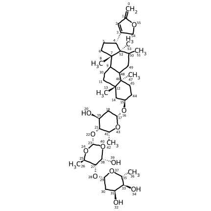 C=C1C=C([C@H]2CC[C@@]3(C)C4CC[C@@]5(C)C[C@H](O[C@H]6C[C@H](O)[C@@H](O[C@H]7O[C@H](C)[C@@H](O[C@H]8C[C@H](O)[C@H](O)[C@@H](C)O8)[C@@H](O)O7)[C@@H](C)O6)CC[C@]5(C)C4CC(C)[C@]23C)CO1